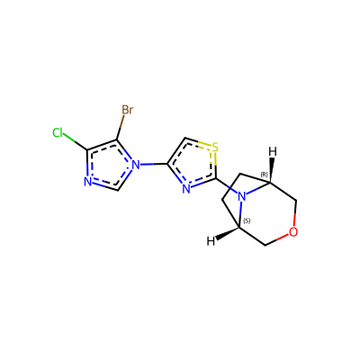 Clc1ncn(-c2csc(N3[C@@H]4CC[C@H]3COC4)n2)c1Br